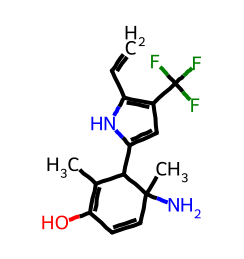 C=Cc1[nH]c(C2C(C)=C(O)C=CC2(C)N)cc1C(F)(F)F